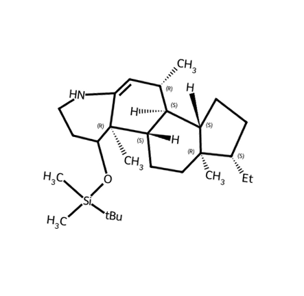 CC[C@H]1CC[C@H]2[C@@H]3[C@@H](C)C=C4NCCC(O[Si](C)(C)C(C)(C)C)[C@]4(C)[C@H]3CC[C@]12C